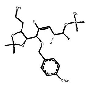 COc1ccc(CO[C@H](/C(F)=C\[C@@H](C)[C@H](C)O[Si](C)(C)C(C)(C)C)[C@H]2OC(C)(C)O[C@H]2CCO)cc1